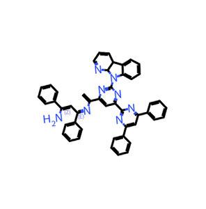 C=C(/N=C(\C=C(/N)c1ccccc1)c1ccccc1)c1cc(-c2nc(-c3ccccc3)cc(-c3ccccc3)n2)nc(N2c3ccccc3C3C=CC=NC32)n1